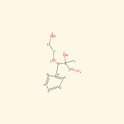 CC(O)(C=O)C(OCCO)c1ccccc1